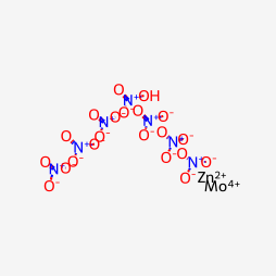 O=[N+]([O-])O.O=[N+]([O-])[O-].O=[N+]([O-])[O-].O=[N+]([O-])[O-].O=[N+]([O-])[O-].O=[N+]([O-])[O-].O=[N+]([O-])[O-].[Mo+4].[Zn+2]